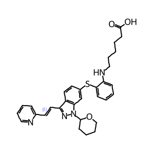 O=C(O)CCCCCNc1ccccc1Sc1ccc2c(/C=C/c3ccccn3)nn(C3CCCCO3)c2c1